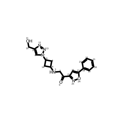 O=C(CNC1CC(n2cc(CO)nn2)C1)c1cc(-c2ccccc2)on1